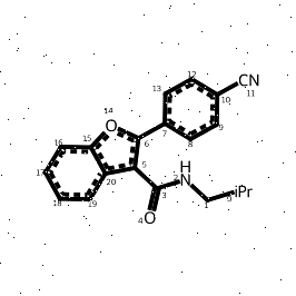 CC(C)CNC(=O)c1c(-c2ccc(C#N)cc2)oc2ccccc12